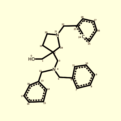 OCC1(CN(Cc2ccccc2)Cc2ccccc2)CCN(Cc2ccccc2)C1